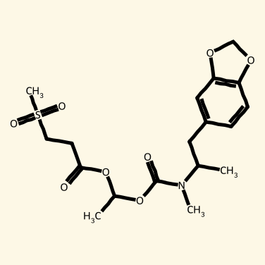 CC(OC(=O)CCS(C)(=O)=O)OC(=O)N(C)C(C)Cc1ccc2c(c1)OCO2